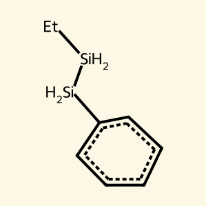 CC[SiH2][SiH2]c1ccccc1